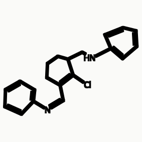 ClC1=C(/C=N\c2ccccc2)CCCC1CNc1ccccc1